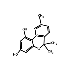 Cc1ccc2c(c1)-c1c(O)cc(O)cc1OC2(C)C